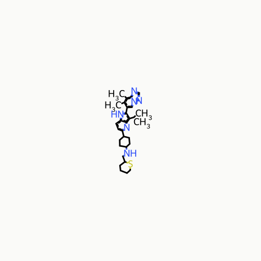 Cc1c(-c2[nH]c3ccc(C4CCC(NCC5CCCCS5)CC4)nc3c2C(C)C)cn2ncnc2c1C